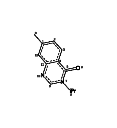 Cc1ccc2c(=O)n(C(C)C)cnc2c1